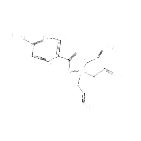 C=CC[Si](CC=C)(CC=C)NC(=O)c1ccc(N)nc1